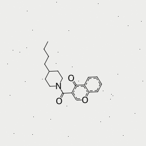 CCCCC1CCN(C(=O)c2coc3ccccc3c2=O)CC1